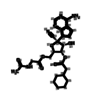 CC(=O)NCC(=O)OC[C@H]1O[C@@](C#N)(c2ccc3c(N)ncnn23)[C@H](O)[C@@H]1OC(=O)CC1CCCCC1